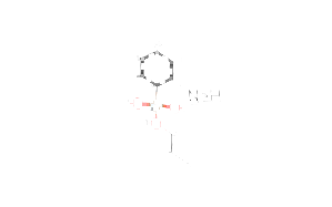 CCCOS(=O)(=O)c1ccccc1.[NaH]